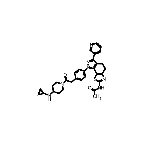 CC(=O)Nc1nc2c(s1)-c1c(c(-c3cccnc3)nn1-c1ccc(CC(=O)N3CCC(NC4CC4)CC3)cc1)CC2